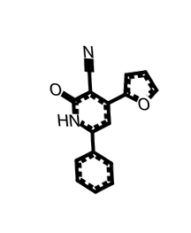 N#Cc1c(-c2ccco2)cc(-c2ccccc2)[nH]c1=O